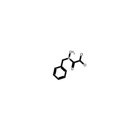 CN(Cc1ccccc1)C(=O)C(Cl)Cl